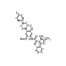 COc1cc2c(cc1NC(=O)C(=O)c1c(-c3ccccc3)cc(C)n1C)OCC1CN(c3ncc(F)cn3)CCN21